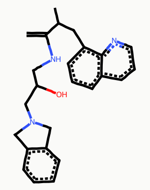 C=C(NCC(O)CN1Cc2ccccc2C1)C(C)Cc1cccc2cccnc12